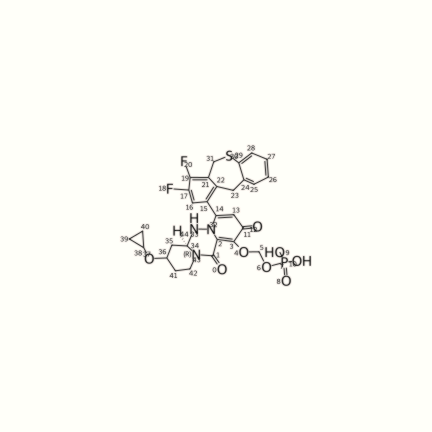 O=C1c2c(OCOP(=O)(O)O)c(=O)cc(-c3cc(F)c(F)c4c3Cc3ccccc3SC4)n2N[C@@H]2CC(OC3CC3)CCN12